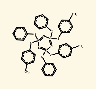 Cc1ccc(OP2(Oc3ccccc3)=NP(Oc3ccccc3)(Oc3ccc(C)cc3)=NP(Oc3ccccc3)(Oc3ccc(C)cc3)=N2)cc1